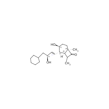 CC1C(=O)[C@]2(C)CC[C@H](O)[C@@H](/C=C/[C@@H](O)CC3CCCCC3)[C@H]12